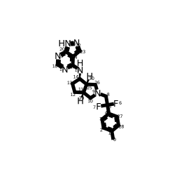 Cc1ccc(C(F)(F)CN2C[C@@H]3CC[C@@H](Nc4ncnc5[nH]ncc45)[C@@H]3C2)cc1